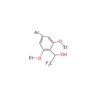 CCOc1cc(C(C)=O)cc(OCC)c1C(O)C(F)(F)F